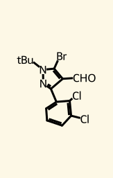 CC(C)(C)n1nc(-c2cccc(Cl)c2Cl)c(C=O)c1Br